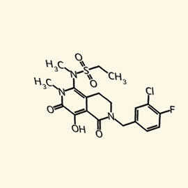 CCS(=O)(=O)N(C)c1c2c(c(O)c(=O)n1C)C(=O)N(Cc1ccc(F)c(Cl)c1)CC2